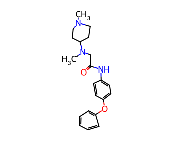 CN1CCC(N(C)CC(=O)Nc2ccc(Oc3ccccc3)cc2)CC1